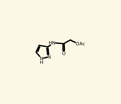 CC(=O)OCC(=O)Nc1cc[nH]n1